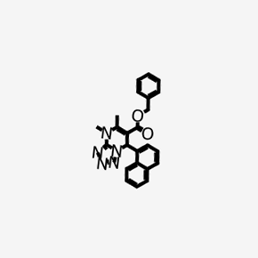 CC1=C(C(=O)OCc2ccccc2)C(c2cccc3ccccc23)n2nnnc2N1C